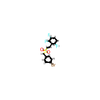 O=S(=O)(C=Cc1c(F)ccc(F)c1F)Cc1ccc(Br)cc1